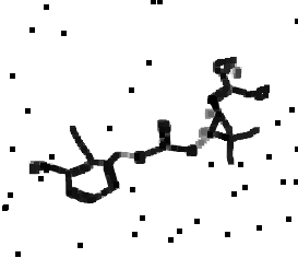 Cc1c(COC(=O)O[C@@H]2[C@@H](C=C(Cl)C(F)(F)F)C2(C)C)cccc1C(C)C